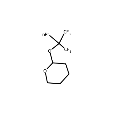 CCCC(OC1CCCCO1)(C(F)(F)F)C(F)(F)F